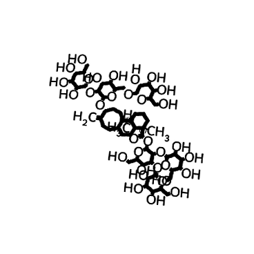 C=C1CCC2CCC3[C@](C)(C(=O)OC4OC(CO)C(O)C(OC5OC(CO)C(O)C(O)C5O)C4OC4OC(CO)C(O)C(O)C4O)CCC[C@@]3(C)[C@@H]2CCC1OC1OC(COC2OC(CO)C(O)C(O)C2O)C(O)C(O)C1OC1OC(CO)C(O)C(O)C1O